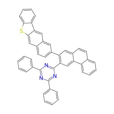 c1ccc(-c2nc(-c3ccccc3)nc(-c3cc4c(ccc5ccccc54)cc3-c3ccc4cc5sc6ccccc6c5cc4c3)n2)cc1